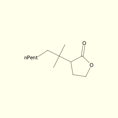 CCCCCCC(C)(C)C1CCOC1=O